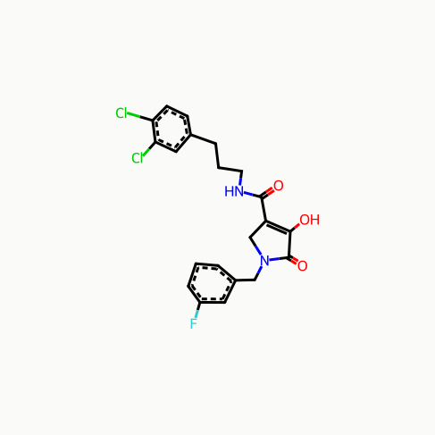 O=C(NCCCc1ccc(Cl)c(Cl)c1)C1=C(O)C(=O)N(Cc2cccc(F)c2)C1